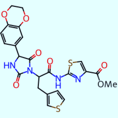 COC(=O)c1csc(NC(=O)C(Cc2ccsc2)N2C(=O)NC(c3ccc4c(c3)OCCO4)C2=O)n1